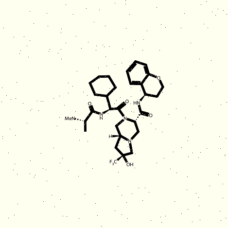 CN[C@@H](C)C(=O)N[C@H](C(=O)N1C[C@H]2C[C@](O)(C(F)(F)F)CN2C[C@H]1C(=O)N[C@@H]1CCOc2ccccc21)C1CCCCC1